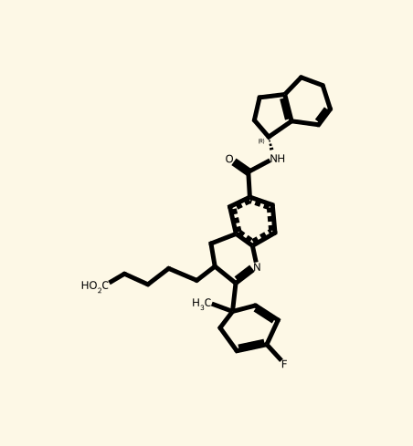 CC1(C2=Nc3ccc(C(=O)N[C@@H]4CCC5=C4C=CCC5)cc3CC2CCCCC(=O)O)C=CC(F)=CC1